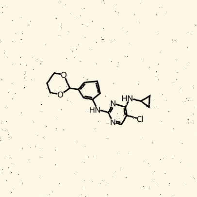 Clc1cnc(Nc2cccc(C3OCCCO3)c2)nc1NC1CC1